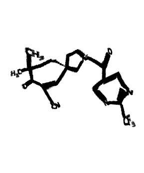 CC1(C)C[C@]2(C=C(C#N)C1=O)CCN(C(=O)c1cnc(C(F)(F)F)nc1)C2